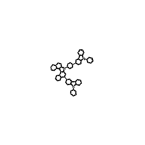 c1ccc(-n2c3ccccc3c3cc(-c4ccc(-n5c6ccc7ccccc7c6c6c7ccccc7c(-c7ccc8c(c7)c7ccccc7n8-c7ccccc7)cc65)cc4)ccc32)cc1